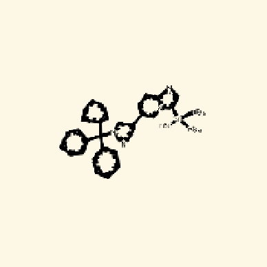 CCC[CH2][Sn]([CH2]CCC)([CH2]CCC)[c]1cnc2ccc(-c3cnn(C(c4ccccc4)(c4ccccc4)c4ccccc4)c3)cn12